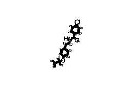 CC(C)C(C)(C)Oc1ccc(CCNC(=O)c2ccc(Cl)cc2)cc1